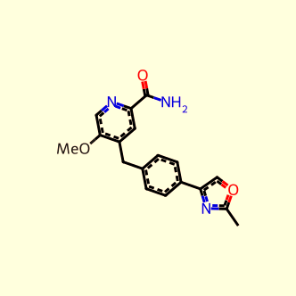 COc1cnc(C(N)=O)cc1Cc1ccc(-c2coc(C)n2)cc1